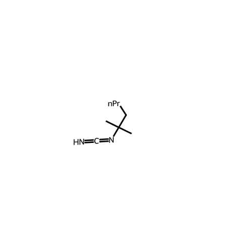 CCCCC(C)(C)N=C=N